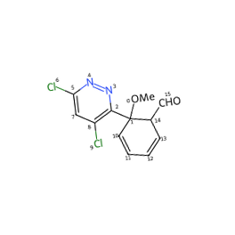 COC1(c2nnc(Cl)cc2Cl)C=CC=CC1C=O